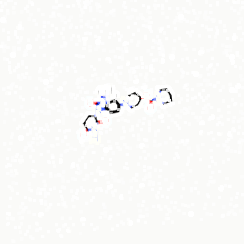 Cn1c(=O)n(C2CCC(=O)NC2=O)c2ccc(N3CCC(OC(=O)N4CCCCC4)CC3)cc21